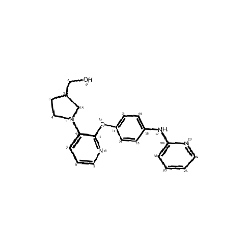 OCC1CCN(c2cccnc2Oc2ccc(Nc3ccccn3)cc2)C1